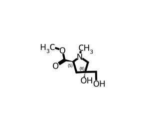 COC(=O)[C@@H]1C[C@](O)(CO)CN1C